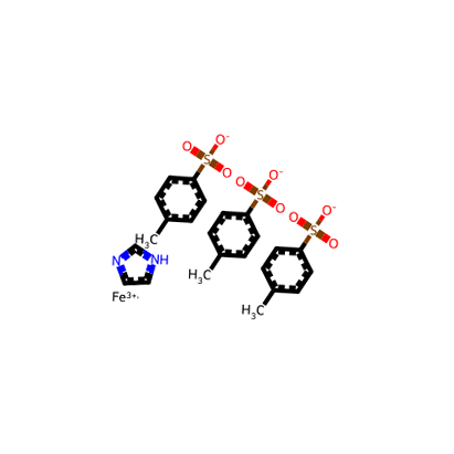 Cc1ccc(S(=O)(=O)[O-])cc1.Cc1ccc(S(=O)(=O)[O-])cc1.Cc1ccc(S(=O)(=O)[O-])cc1.[Fe+3].c1c[nH]cn1